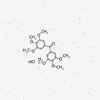 COc1cc(C(=O)c2cc(OC)c(OC)c(OC)c2)cc(OC)c1OC.Cl